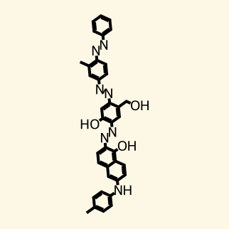 Cc1ccc(Nc2ccc3c(O)c(N=Nc4cc(CO)c(N=Nc5ccc(N=Nc6ccccc6)c(C)c5)cc4O)ccc3c2)cc1